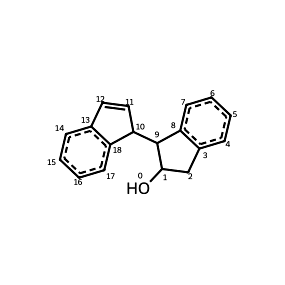 OC1Cc2ccccc2C1C1C=Cc2ccccc21